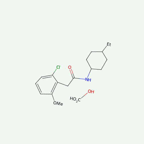 CCC1CCC(NC(=O)Cc2c(Cl)cccc2OC)CC1.O=C(O)O